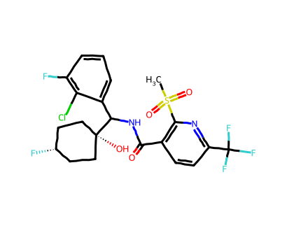 CS(=O)(=O)c1nc(C(F)(F)F)ccc1C(=O)NC(c1cccc(F)c1Cl)[C@]1(O)CC[C@@H](F)CC1